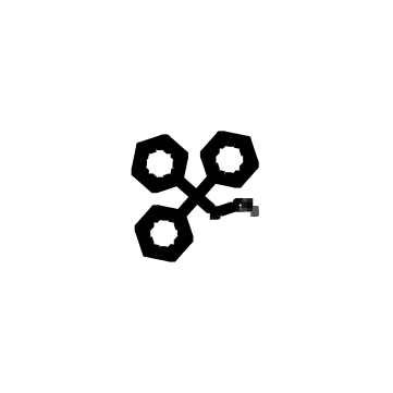 C[B]C(c1ccccc1)(c1ccccc1)c1ccccc1